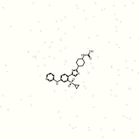 O=C(O)NC1CCC(c2ncc(-c3ccc(Nc4cccnc4)cc3S(=O)(=O)C3CC3)s2)CC1